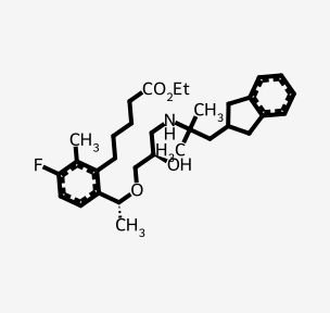 CCOC(=O)CCCCc1c([C@@H](C)OC[C@H](O)CNC(C)(C)CC2Cc3ccccc3C2)ccc(F)c1C